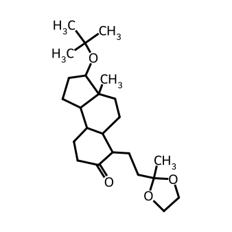 CC(C)(C)OC1CCC2C3CCC(=O)C(CCC4(C)OCCO4)C3CCC12C